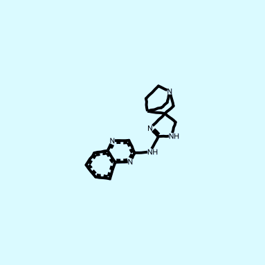 c1ccc2nc(NC3=NC4(CN3)CN3CCC4CC3)cnc2c1